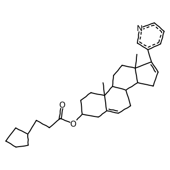 CC12CCC(OC(=O)CCC3CCCC3)CC1=CCC1C2CCC2(C)C(c3cccnc3)=CCC12